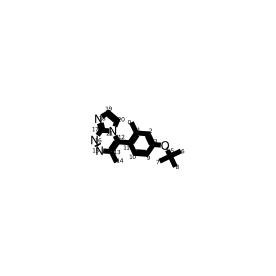 Cc1cc(OC(C)(C)C)ccc1-c1c(C)nnc2nccn12